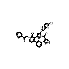 O=C(Cn1ccc(-c2ccccn2)c(-c2cc(NCc3ccc(Cl)s3)n(C(=O)c3cnsc3)n2)c1=O)c1ccccc1